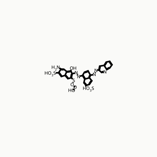 Nc1cc2c(O)c(N=Nc3ccc(N=Nc4cnc5ccccc5c4)c4ccc(S(=O)(=O)O)cc34)c(SOOO)cc2cc1S(=O)(=O)O